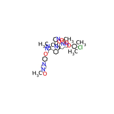 CC(=O)N1CCN(c2ccc(OCc3nn(C)c(C)c3-c3cccc4c(CCCOc5cc(C)c(Cl)c(C)c5)c(C(=O)NS(C)(=O)=O)n(Cc5cccnc5)c34)cc2)CC1